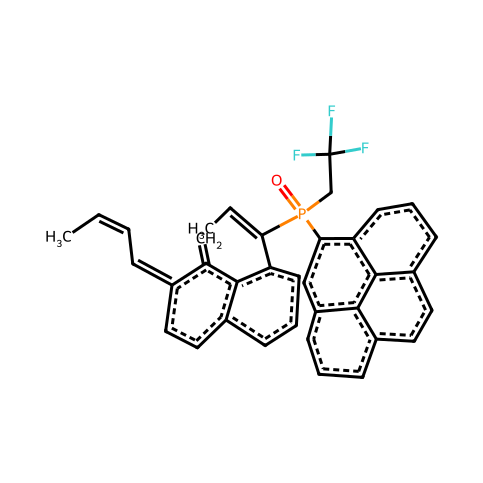 C=c1/c(=C\C=C/C)ccc2cccc(/C(=C\C)P(=O)(CC(F)(F)F)c3cc4cccc5ccc6cccc3c6c54)c12